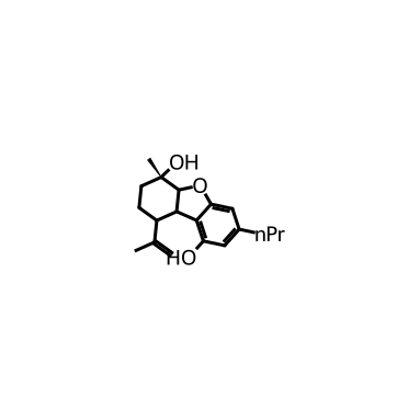 C=C(C)C1CC[C@](C)(O)C2Oc3cc(CCC)cc(O)c3C12